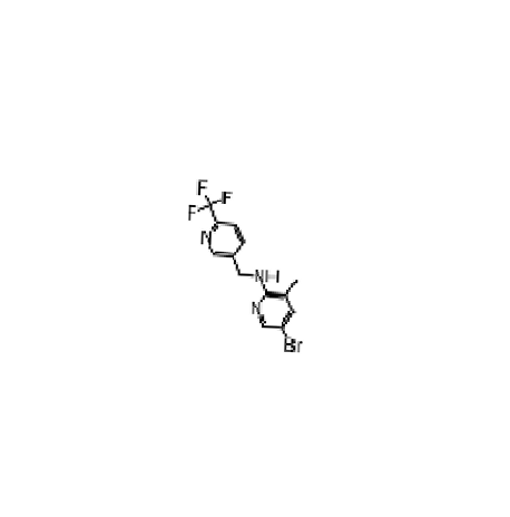 Cc1cc(Br)cnc1NCc1ccc(C(F)(F)F)nc1